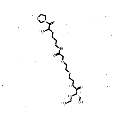 NCN[C@@H](CO)C(=O)NCCOCCOCC(=O)NCCCCC(N)C(=O)N1CCSC1